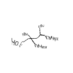 CCCCCCCC(CCCC)C(CCCC)(CCCCCC)C(=O)O